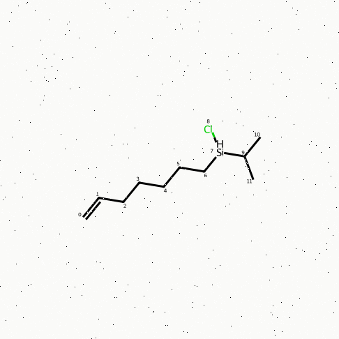 C=CCCCCC[SiH](Cl)C(C)C